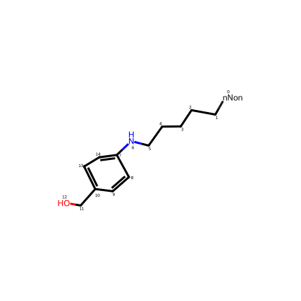 CCCCCCCCCCCCCCNc1ccc(CO)cc1